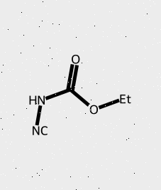 [C-]#[N+]NC(=O)OCC